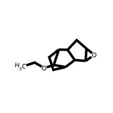 CCOC1C2CCC1C1C2CC2OC21